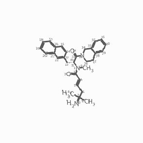 CN(C(=O)C=CCC(C)(C)N)[C@H](Cc1ccc2ccccc2c1)C(=O)N1CCc2ccccc2C1